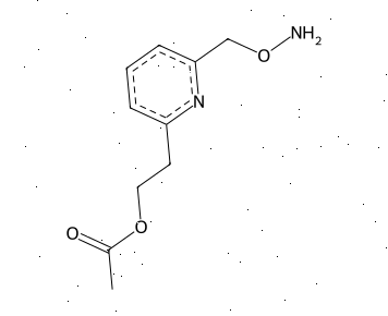 CC(=O)OCCc1cccc(CON)n1